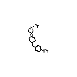 CC(C)c1ccc(CC2CCN(C3CCN(C(C)C)C3)CC2)cc1